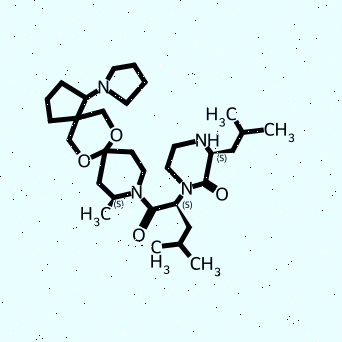 CC(C)C[C@@H]1NCCN([C@@H](CC(C)C)C(=O)N2CCC3(C[C@@H]2C)OCC2(CCCC2N2CCCC2)CO3)C1=O